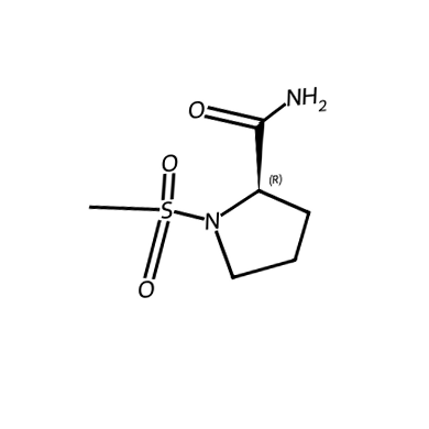 CS(=O)(=O)N1CCC[C@@H]1C(N)=O